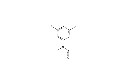 CN(C=O)c1cc(F)cc(F)c1